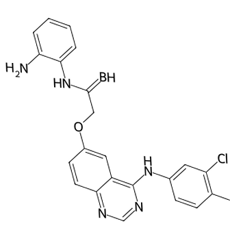 B=C(COc1ccc2ncnc(Nc3ccc(F)c(Cl)c3)c2c1)Nc1ccccc1N